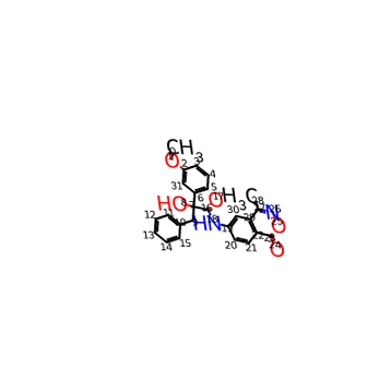 COc1cccc(C(O)(Cc2ccccc2)C(=O)Nc2ccc3c(=O)onc(C)c3c2)c1